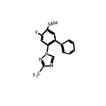 CSc1cc(-c2ccccc2)c(-n2cnc(C(F)(F)F)n2)cc1F